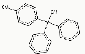 [C-]#[N+]c1ccc(C(O)(c2ccccc2)c2ccccc2)cc1